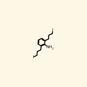 Nc1c(CCCI)cccc1CCCI